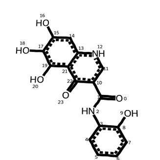 O=C(Nc1ccccc1O)c1c[nH]c2cc(O)c(O)c(O)c2c1=O